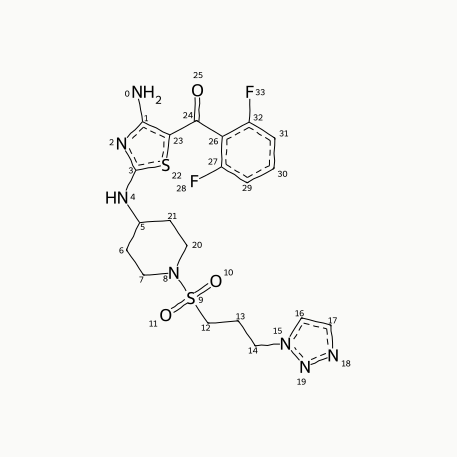 Nc1nc(NC2CCN(S(=O)(=O)CCCn3ccnn3)CC2)sc1C(=O)c1c(F)cccc1F